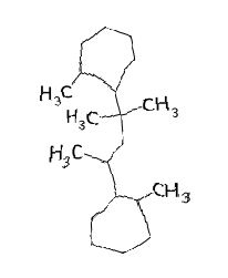 CC1CCCCC1C(C)CC(C)(C)C1CCCCC1C